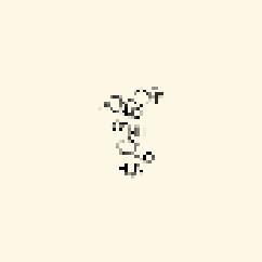 C[C@@H]1CC[C@@H](C2CCC(F)(F)CC2)N(C(=O)C(=O)Nc2cncc(C(N)=O)c2)C1